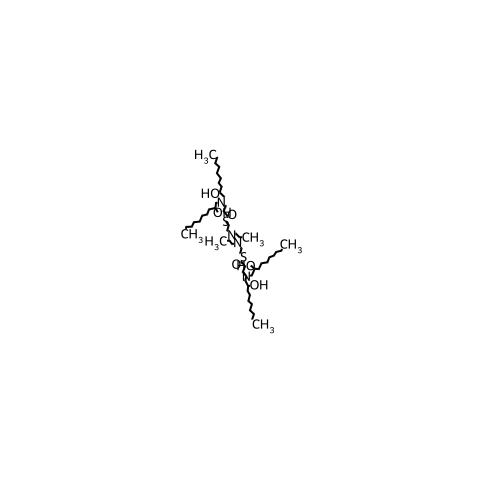 CCCCCCCCC(O)CN(CCC(=O)SCCN1CC(C)N(CCSC(=O)CCN(CC(O)CCCCCCCC)CC(O)CCCCCCCC)CC1C)CC(O)CCCCCCCC